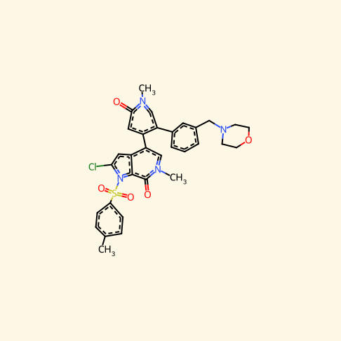 Cc1ccc(S(=O)(=O)n2c(Cl)cc3c(-c4cc(=O)n(C)cc4-c4cccc(CN5CCOCC5)c4)cn(C)c(=O)c32)cc1